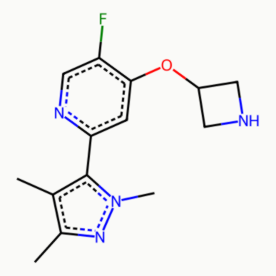 Cc1nn(C)c(-c2cc(OC3CNC3)c(F)cn2)c1C